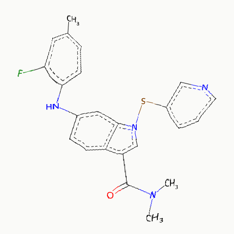 Cc1ccc(Nc2ccc3c(C(=O)N(C)C)cn(Sc4cccnc4)c3c2)c(F)c1